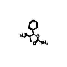 C[C@@H](N)[C@@H](OC(N)=O)c1ccccc1